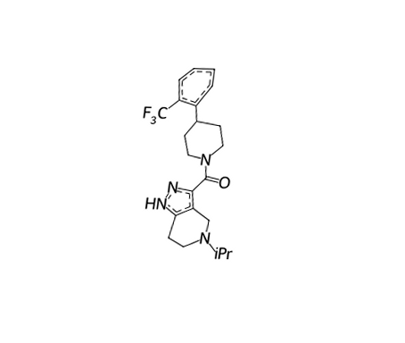 CC(C)N1CCc2[nH]nc(C(=O)N3CCC(c4ccccc4C(F)(F)F)CC3)c2C1